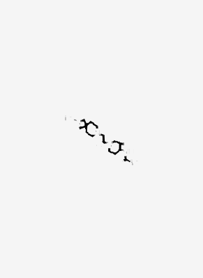 CC(C)C(=O)NC1CCN(C(=O)CN2CCC3(CC2)CN(C(C)C)C3)CC1(F)F